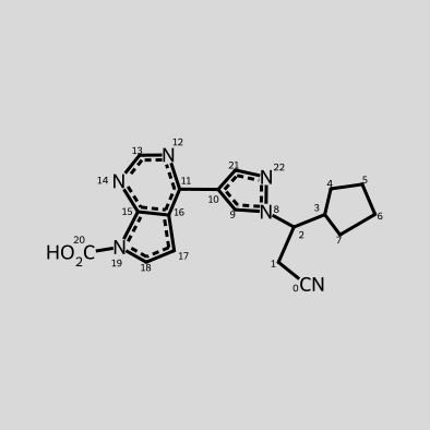 N#CCC(C1CCCC1)n1cc(-c2ncnc3c2ccn3C(=O)O)cn1